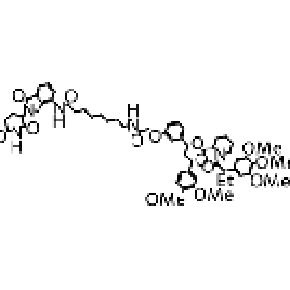 CC[C@H](C(=O)N1CCCC[C@H]1C(=O)OC(CCc1ccc(OC)c(OC)c1)c1cccc(OCC(=O)NCCCCCCCC(=O)Nc2cccc3c2CN(C2CCC(=O)NC2=O)C3=O)c1)c1cc(OC)c(OC)c(OC)c1